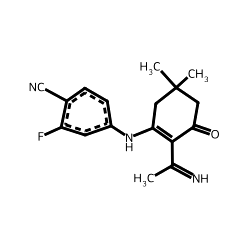 CC(=N)C1=C(Nc2ccc(C#N)c(F)c2)CC(C)(C)CC1=O